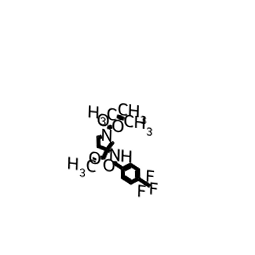 COC(=O)C1(NCc2ccc(C(F)(F)F)cc2)CCN(C(=O)OC(C)(C)C)C1